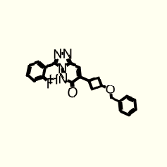 O=c1[nH]n2c(-c3ccccc3F)nnc2cc1C1CC(OCc2ccccc2)C1